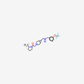 CC1CCCN1C(=O)CN1CC2C(CNCc3cccc(OC(F)(F)F)c3)C2C1